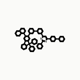 c1ccc(-c2ccc(-c3cc(-c4cccc(-c5cccc(-c6cc7c(cc6-c6cccc8ccccc68)-c6ccccc6C7(c6ccccc6)c6ccccc6)c5)c4)nc(-c4ccccc4)n3)cc2)cc1